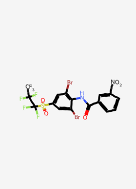 O=C(Nc1c(Br)cc(S(=O)(=O)C(F)(F)C(F)(F)C(F)(F)F)cc1Br)c1cccc([N+](=O)[O-])c1